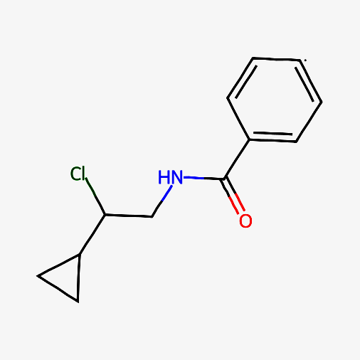 O=C(NCC(Cl)C1CC1)c1cc[c]cc1